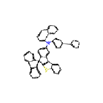 c1ccc(-c2ccc(N(c3ccc4c(c3)-c3c(sc5ccccc35)C43c4ccccc4-c4ccccc43)c3cccc4ccccc34)cc2)cc1